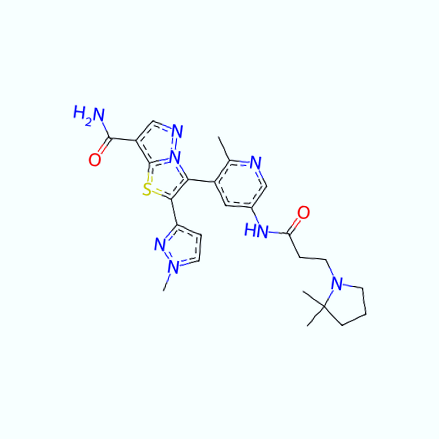 Cc1ncc(NC(=O)CCN2CCCC2(C)C)cc1-c1c(-c2ccn(C)n2)sc2c(C(N)=O)cnn12